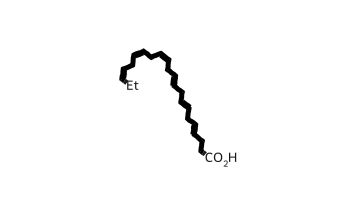 CC/C=C\C/C=C\C/C=C\C/C=C/C/C=C/C/C=C/CCC(=O)O